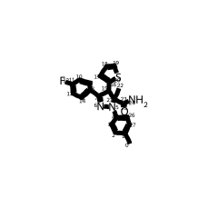 Cc1ccc(N2N=C(c3ccc(F)cc3)C(c3cccs3)C2(C)C(N)=O)cc1